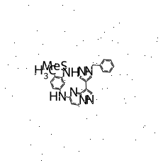 CSNc1cc(Nc2ccn3ncc(-c4cnn(Cc5ccccc5)c4)c3n2)ccc1C